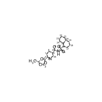 CC(C)OC(=O)c1ccc(C(=O)NS(=O)(=O)c2cccc3ccccc23)cn1